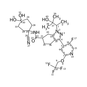 CC(n1nc(-c2cc(OCC(F)(F)F)ncc2F)c2c1CC(C(=O)NC1(C#N)CCS(O)(O)CC1)CC2)C(C)(C)O